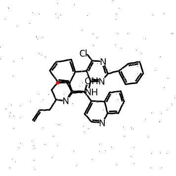 C=CCC1CC2CC(Nc3nc(-c4ccccc4)nc(Cl)c3-c3ccccc3)N1C([C@@H](O)c1ccnc3ccccc13)C2